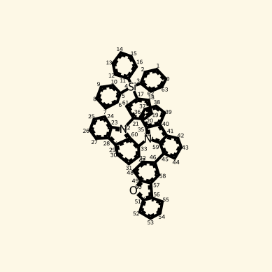 c1ccc([Si](c2ccccc2)(c2ccccc2)c2cccc(-n3c4ccccc4c4cccc(-n5c6ccccc6c6cccc(-c7ccc8oc9ccccc9c8c7)c65)c43)c2)cc1